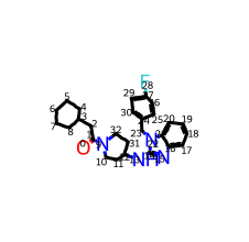 O=C(CC1CCCCC1)N1CCC(Nc2nc3ccccc3n2Cc2ccc(F)cc2)CC1